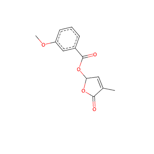 COc1cccc(C(=O)OC2C=C(C)C(=O)O2)c1